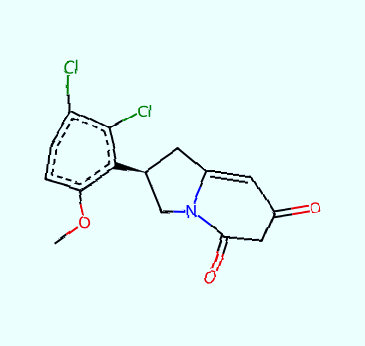 COc1ccc(Cl)c(Cl)c1[C@H]1CC2=CC(=O)CC(=O)N2C1